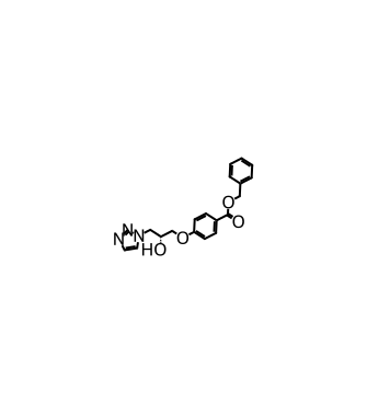 O=C(OCc1ccccc1)c1ccc(OC[C@H](O)Cn2ccnn2)cc1